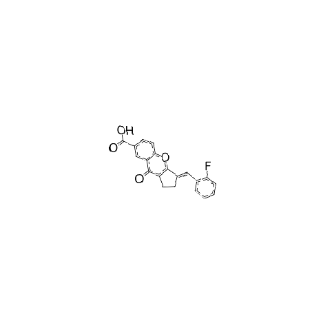 O=C(O)c1ccc2oc3c(c(=O)c2c1)CCC3=Cc1ccccc1F